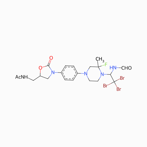 CC(=O)NCC1CN(c2ccc(N3CCN(C(NC=O)C(Br)(Br)Br)C(C)(F)C3)cc2)C(=O)O1